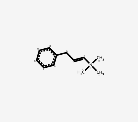 C[N+](C)(C)C=CCc1ccccc1